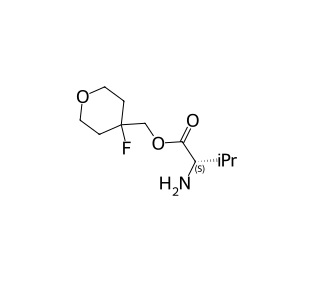 CC(C)[C@H](N)C(=O)OCC1(F)CCOCC1